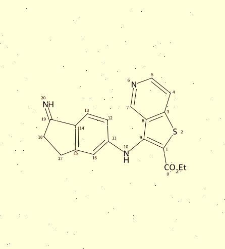 CCOC(=O)c1sc2ccncc2c1Nc1ccc2c(c1)CCC2=N